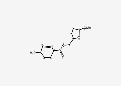 COC1CCC(COS(=O)C2C=CC(C)CC2)O1